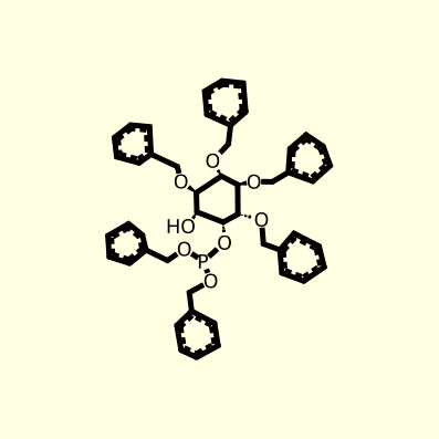 O[C@@H]1[C@@H](OCc2ccccc2)[C@H](OCc2ccccc2)[C@@H](OCc2ccccc2)[C@H](OCc2ccccc2)[C@@H]1OP(OCc1ccccc1)OCc1ccccc1